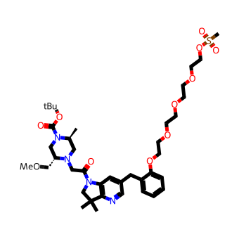 COC[C@@H]1CN(C(=O)OC(C)(C)C)[C@@H](C)CN1CC(=O)N1CC(C)(C)c2ncc(Cc3ccccc3OCCOCCOCCOCCOS(C)(=O)=O)cc21